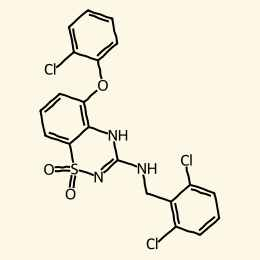 O=S1(=O)N=C(NCc2c(Cl)cccc2Cl)Nc2c(Oc3ccccc3Cl)cccc21